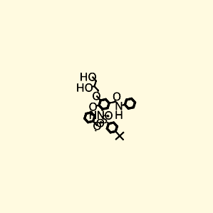 COc1cccc(Oc2c(NS(=O)(=O)c3ccc(C(C)(C)C)cc3)cc(C(=O)Nc3ccccc3)cc2OCC(O)CO)c1